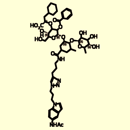 CC(=O)Nc1ccc2c(ccn2CCCn2cc(CCCNC(=O)C3CC(C)C(O[C@@H]4OC(C)[C@@H](O)C(O)C4O)[C@H](O[C@@H]4OC(CO)[C@H](O)C(O[C@@H](CC5CCCCC5)C(=O)O)C4OC(=O)c4ccccc4)C3)nn2)c1